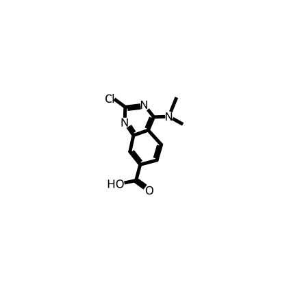 CN(C)c1nc(Cl)nc2cc(C(=O)O)ccc12